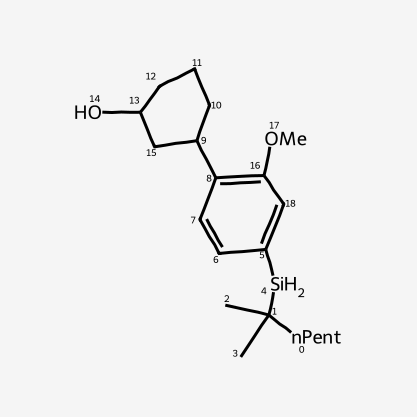 CCCCCC(C)(C)[SiH2]c1ccc(C2CCCC(O)C2)c(OC)c1